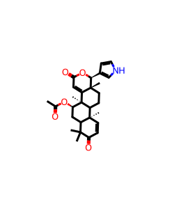 CC(=O)O[C@@H]1CC2C(C)(C)C(=O)C=C[C@]2(C)C2CC[C@]3(C)C(=CC(=O)O[C@H]3c3cc[nH]c3)[C@@]21C